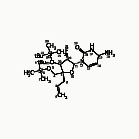 C=CC[C@]1(CO[Si](C)(C)C(C)(C)C)O[C@@H](N2C=CC(N)NC2=O)[C@H](F)C1O[Si](C)(C)C(C)(C)C